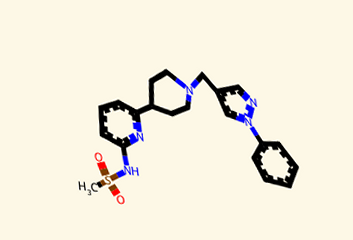 CS(=O)(=O)Nc1cccc(C2CCN(Cc3cnn(-c4ccccc4)c3)CC2)n1